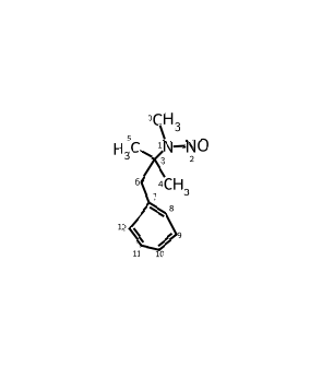 CN(N=O)C(C)(C)Cc1ccccc1